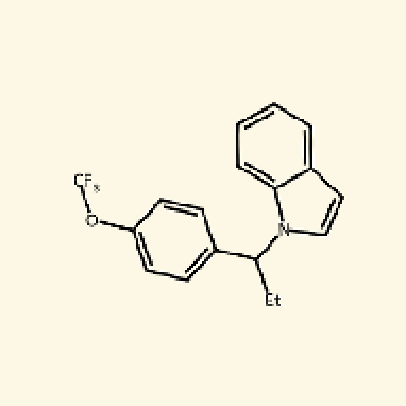 CCC(c1ccc(OC(F)(F)F)cc1)n1ccc2ccccc21